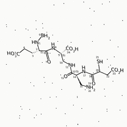 BN[C@@H](CCC(=O)O)C(=O)N[C@@H](CNC(=O)[C@H](CN)NC(=O)C(S)CC(=O)O)C(=O)O